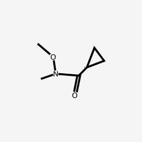 CON(C)C(=O)[C]1CC1